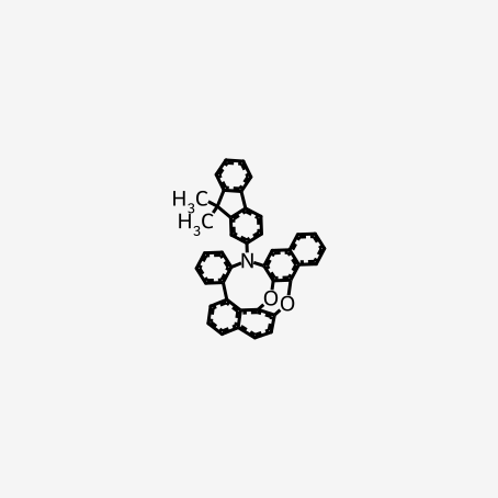 CC1(C)c2ccccc2-c2ccc(N3c4ccccc4-c4cccc5ccc6c(c45)Oc4c3cc3ccccc3c4O6)cc21